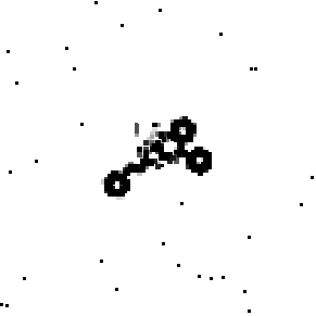 CN1C(=O)[C@H](NC(=O)C=Cc2ccccc2)N=C(c2ccccc2)c2ccccc21